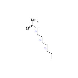 C=C/C=C/C=C/C=C/C(N)=O